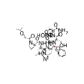 CC(C)C[C@H](NC(=O)[C@@H]1CCCN1C(=O)CCOC(C)C)C(=O)N[C@@H](Cc1cnc[nH]1)C(=O)N[C@@H](CO)C(=O)N[C@H](C(N)=O)[C@@H](C)OP(=O)(O)OCCCCc1ccccc1